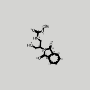 CC(C)(C)OC(=O)NCC(CO)N1C(=O)c2ccccc2C1=O